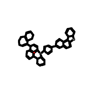 C1=CCC(C2=CCCC=C2)C(N(C2=CCC(C3=CCCCC4=C3CCC=C4)C=C2)c2ccc(-c3ccc4c5c(ccc4c3)OC3C=CC=CC53)cc2)=C1